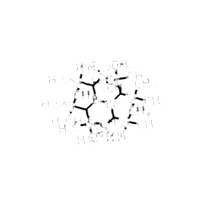 C[Si](C)(C)[CH]([Bi]([CH]([Si](C)(C)C)[Si](C)(C)C)[Bi]([CH]([Si](C)(C)C)[Si](C)(C)C)[CH]([Si](C)(C)C)[Si](C)(C)C)[Si](C)(C)C